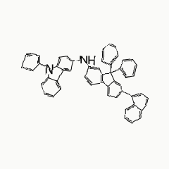 c1ccc(-n2c3ccccc3c3cc(Nc4ccc5c(c4)C(c4ccccc4)(c4ccccc4)c4cc(-c6cccc7ccccc67)ccc4-5)ccc32)cc1